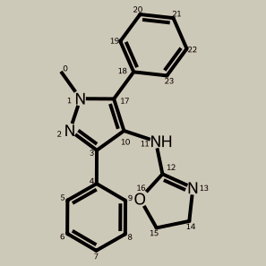 Cn1nc(-c2ccccc2)c(NC2=NCCO2)c1-c1ccccc1